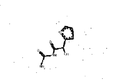 NC(=O)NC(=O)C(O)c1ccco1